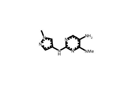 CNc1nc(Nc2cnn(C)c2)ncc1N